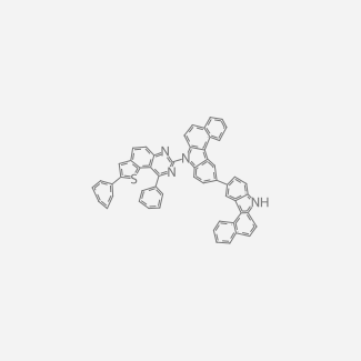 c1ccc(-c2cc3ccc4nc(-n5c6ccc(-c7ccc8[nH]c9ccc%10ccccc%10c9c8c7)cc6c6c7ccccc7ccc65)nc(-c5ccccc5)c4c3s2)cc1